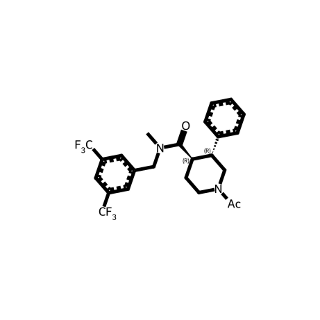 CC(=O)N1CC[C@@H](C(=O)N(C)Cc2cc(C(F)(F)F)cc(C(F)(F)F)c2)[C@H](c2ccccc2)C1